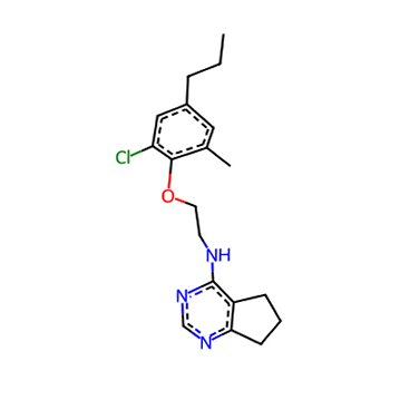 CCCc1cc(C)c(OCCNc2ncnc3c2CCC3)c(Cl)c1